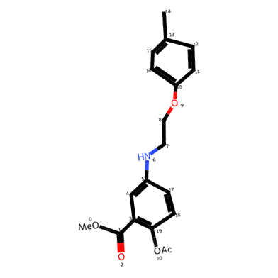 COC(=O)c1cc(NCCOc2ccc(C)cc2)ccc1OC(C)=O